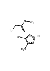 CCC(=O)OC.Cl.Nc1cscc1O